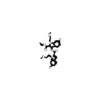 CCOC(=O)c1c(OC(=O)c2cc3ccc(F)cc3n2CCOC)c2ccc(F)cc2n1CCOC